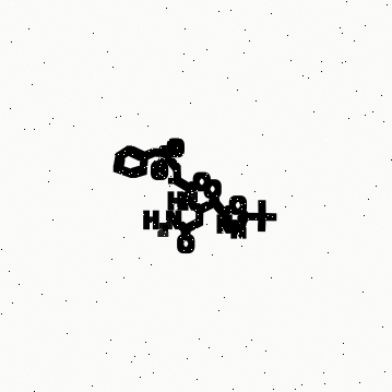 CC(C)(C)c1nnc(C(=O)C(CC(N)=O)NC(=O)[CH]CS(=O)(=O)Cc2ccccc2)o1